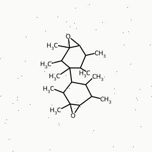 CC1C(C)C(C2(C)C(C)C(C)C3OC3(C)C2C)C(C)C2(C)OC12